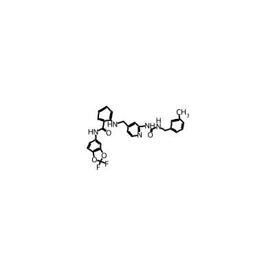 Cc1cccc(CNC(=O)Nc2cc(CNc3ccccc3C(=O)Nc3ccc4c(c3)OC(F)(F)O4)ccn2)c1